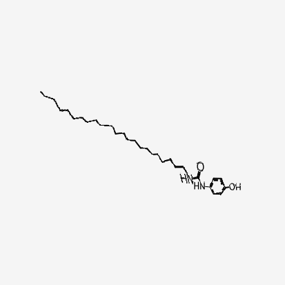 CCCCCCCCCCCCCCCCCCCCCCCNC(=O)Nc1ccc(O)cc1